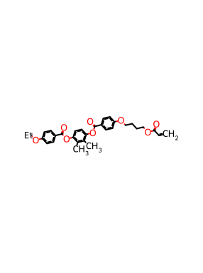 C=CC(=O)OCCCCOc1ccc(C(=O)Oc2ccc(OC(=O)c3ccc(OCC)cc3)c(C)c2C)cc1